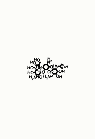 NC[C@H]1O[C@H](OC2[C@@H](N)C[C@@H](NC(CO)CO)[C@H](O[C@H]3O[C@H](CO)[C@@H](O)[C@H](N)[C@H]3O)[C@H]2O)[C@H](NC2CNC2)[C@@H](O)[C@@H]1O